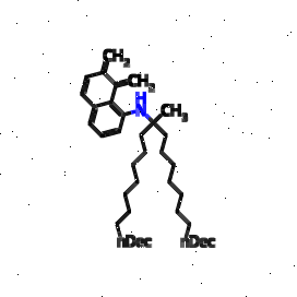 C=c1ccc2cccc(NC(C)(CCCCCCCCCCCCCCCCC)CCCCCCCCCCCCCCCCC)c2c1=C